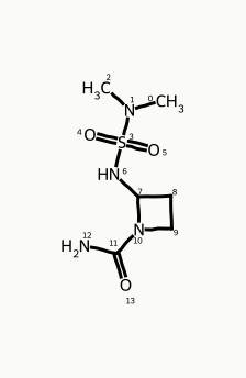 CN(C)S(=O)(=O)NC1CCN1C(N)=O